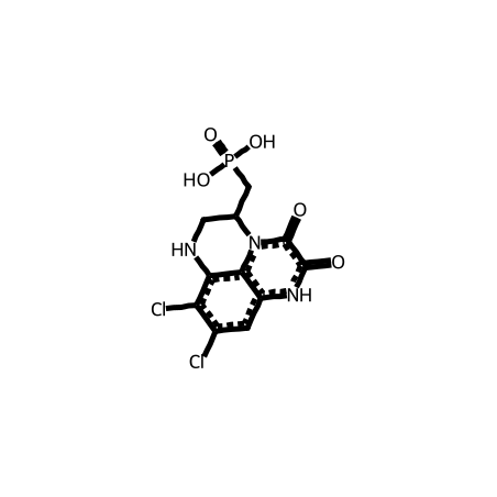 O=c1[nH]c2cc(Cl)c(Cl)c3c2n(c1=O)C(CP(=O)(O)O)CN3